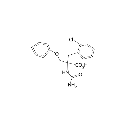 NC(=O)NC(COc1ccccc1)(Cc1ccccc1Cl)C(=O)O